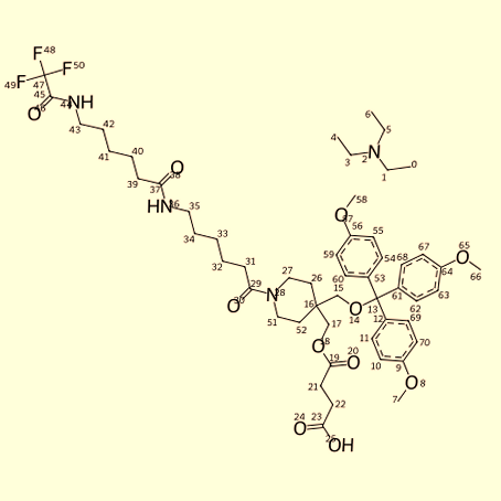 CCN(CC)CC.COc1ccc(C(OCC2(COC(=O)CCC(=O)O)CCN(C(=O)CCCCCNC(=O)CCCCCNC(=O)C(F)(F)F)CC2)(c2ccc(OC)cc2)c2ccc(OC)cc2)cc1